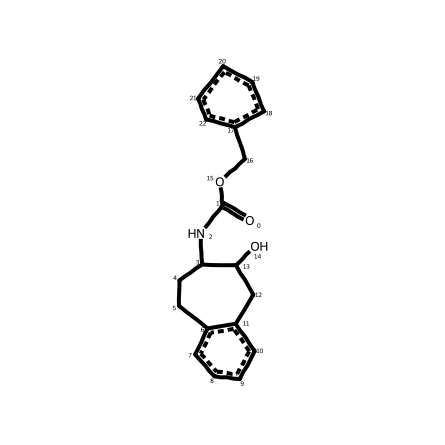 O=C(NC1CCc2ccccc2CC1O)OCc1ccccc1